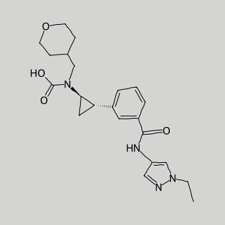 CCn1cc(NC(=O)c2cccc([C@@H]3C[C@H]3N(CC3CCOCC3)C(=O)O)c2)cn1